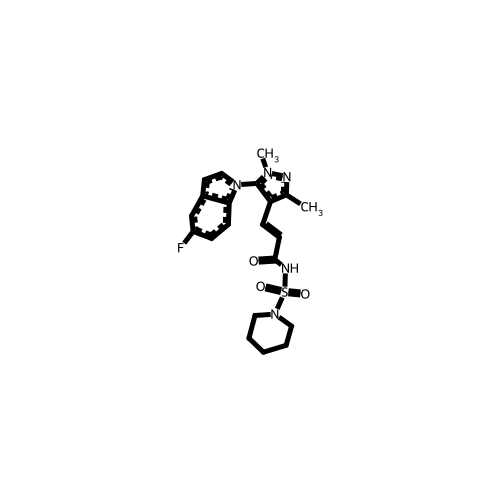 Cc1nn(C)c(-n2ccc3cc(F)ccc32)c1C=CC(=O)NS(=O)(=O)N1CCCCC1